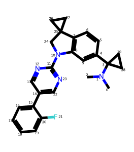 CN(C)C1(c2ccc3c(c2)N(c2ncc(-c4ccccc4F)cn2)CC32CC2)CC1